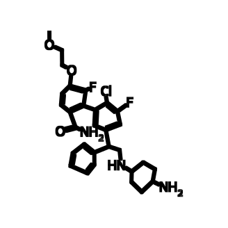 COCCOc1ccc(C(N)=O)c(-c2cc(C(CNC3CCC(N)CC3)c3ccccc3)cc(F)c2Cl)c1F